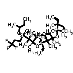 C=CC(C)(CC)[Si](C)(C)OC(C)(CC)C(C)(CC)[Si](C)(C=C)O[C@](C)(CC)C(C)(C)[Si](C)(CCC(F)(F)F)OC(C)CC